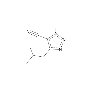 CC(C)Cc1nn[nH]c1C#N